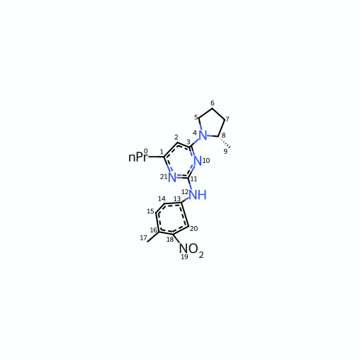 CCCc1cc(N2CCC[C@@H]2C)nc(Nc2ccc(C)c([N+](=O)[O-])c2)n1